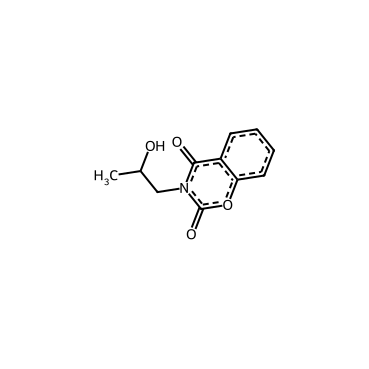 CC(O)Cn1c(=O)oc2ccccc2c1=O